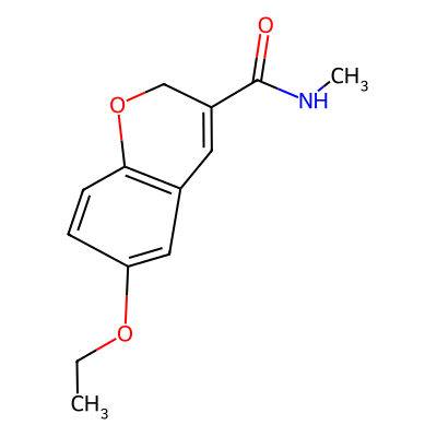 CCOc1ccc2c(c1)C=C(C(=O)NC)CO2